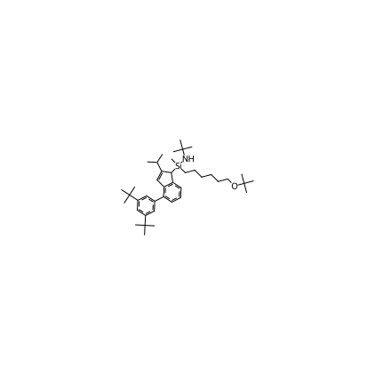 CC(C)C1=Cc2c(-c3cc(C(C)(C)C)cc(C(C)(C)C)c3)cccc2C1[Si](C)(CCCCCCOC(C)(C)C)NC(C)(C)C